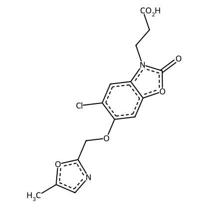 Cc1cnc(COc2cc3oc(=O)n(CCC(=O)O)c3cc2Cl)o1